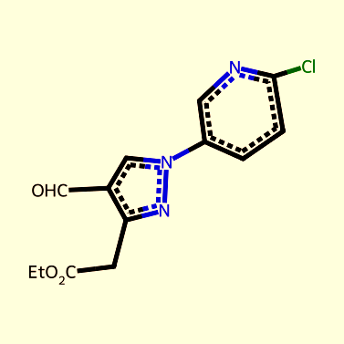 CCOC(=O)Cc1nn(-c2ccc(Cl)nc2)cc1C=O